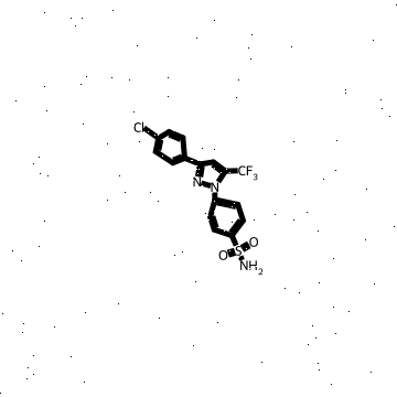 NS(=O)(=O)c1ccc(-n2nc(-c3ccc(Cl)cc3)cc2C(F)(F)F)cc1